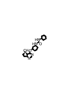 Cn1ccc2ncnc(Oc3cccc(NC(=O)Nc4ccccc4)c3)c21